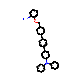 Nc1ccccc1OCc1ccc(-c2ccc(-c3ccc(N(c4ccccc4)c4ccccc4)cc3)cc2)cc1